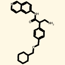 NCC(C(=O)Nc1ccc2cnccc2c1)c1ccc(COCC2CCCCC2)cc1